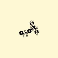 Cc1c(C(=O)N2CCOCC2)nc(-c2ccc(NC(=O)Nc3ccccc3)cc2)nc1N1CCOCC1